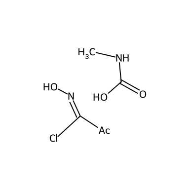 CC(=O)C(Cl)=NO.CNC(=O)O